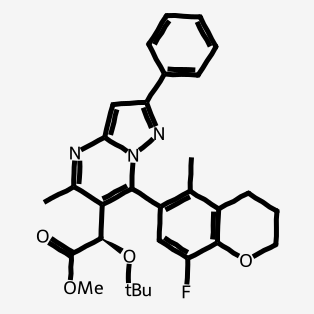 COC(=O)[C@H](OC(C)(C)C)c1c(C)nc2cc(-c3ccccc3)nn2c1-c1cc(F)c2c(c1C)CCCO2